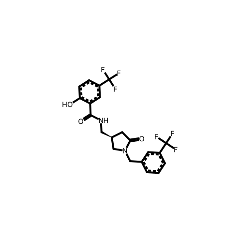 O=C(NC[C@H]1CC(=O)N(Cc2cccc(C(F)(F)F)c2)C1)c1cc(C(F)(F)F)ccc1O